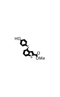 COC(=O)c1cc2c(Sc3ccc(O)cc3)cccc2s1